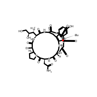 CCC1C(=O)N[C@@H]([C@@H](C)[C@@H](O)CO)C(=O)N[C@@H]2Cc3c([nH]c4cc(O)ccc34)[S+]([O-])C[C@H](NC(=O)CNC(=O)[C@H]([C@@H](C)CC)NC(=O)CNC2=O)C(=O)N[C@@H](CC(N)=O)C(=O)N2CCC[C@@H]12